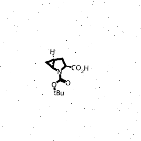 CC(C)(C)OC(=O)N1C2C[C@H]2C[C@H]1C(=O)O